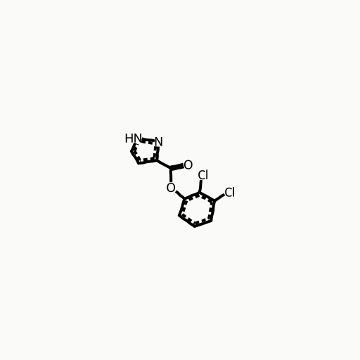 O=C(Oc1cccc(Cl)c1Cl)c1cc[nH]n1